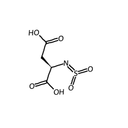 O=C(O)C[C@@H](N=S(=O)=O)C(=O)O